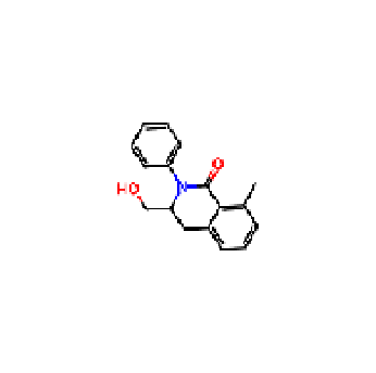 Cc1cccc2c1C(=O)N(c1ccccc1)C(CO)C2